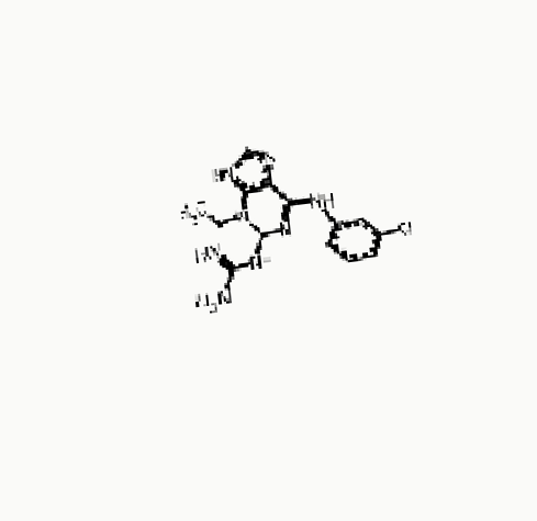 CCN1c2[nH]cnc2C(Nc2cccc(Cl)c2)=NC1NC(=N)N